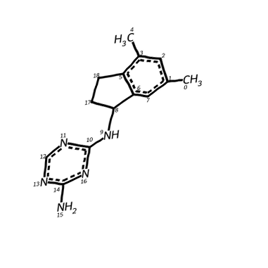 Cc1cc(C)c2c(c1)C(Nc1ncnc(N)n1)CC2